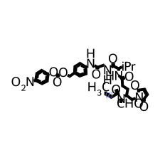 C/C=C\C(=O)N(C=O)C(CCC(=O)NC(C(=O)NCC(=O)Nc1ccc(COC(=O)Oc2ccc([N+](=O)[O-])cc2)cc1)C(C)C)CN1C(=O)C=CC1=O